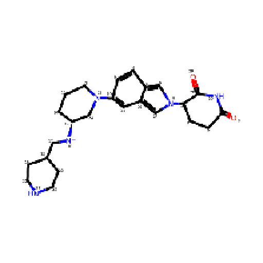 O=C1CCC(n2cc3ccc(N4CCC[C@H](NCC5CCNCC5)C4)cc3c2)C(=O)N1